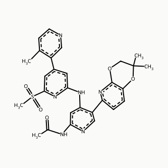 CC(=O)Nc1cc(Nc2cc(-c3cnccc3C)cc(S(C)(=O)=O)n2)c(-c2ccc3c(n2)OCC(C)(C)O3)cn1